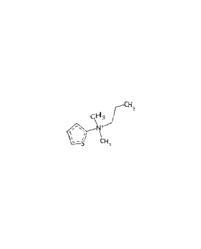 CCC[N+](C)(C)c1cccs1